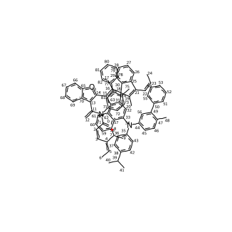 C=C(/C=C\C(=C/C)C(C)C)N(C(=C)c1c(C2=C(C)C3(C(C)=C(/C=C\C)c4ccccc43)c3cc(N(c4ccc(C(C)C)cc4)c4ccc(C)c(-c5ccccc5)c4)c4ccccc4c32)oc2ccccc12)c1ccc(C)c(-c2ccccc2)c1